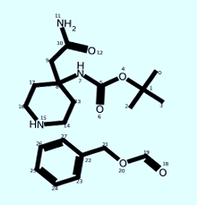 CC(C)(C)OC(=O)NC1(CC(N)=O)CCNCC1.O=COCc1ccccc1